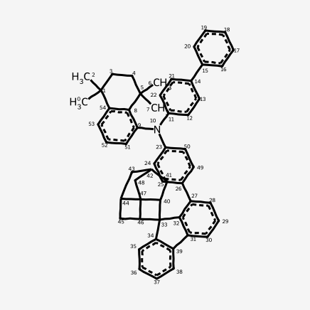 CC1(C)CCC(C)(C)c2c(N(c3ccc(-c4ccccc4)cc3)c3ccc(-c4cccc5c4C4(c6ccccc6-5)C5CC6CC7CC4C75C6)cc3)cccc21